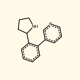 [c]1cccc(C2CCCN2)c1-c1cccnc1